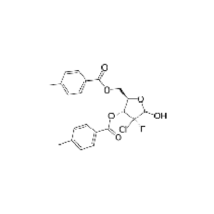 Cc1ccc(C(=O)OC[C@H]2OC(O)[C@@](F)(Cl)[C@@H]2OC(=O)c2ccc(C)cc2)cc1